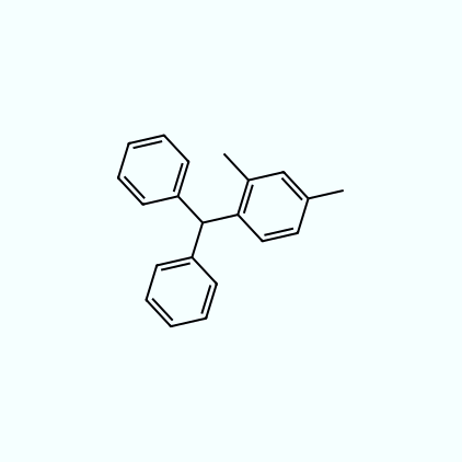 Cc1ccc(C(c2ccccc2)c2ccccc2)c(C)c1